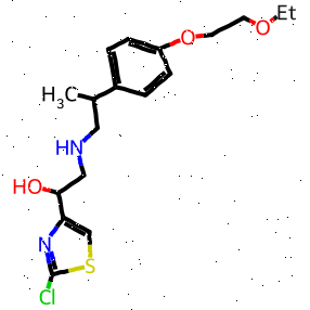 CCOCCOc1ccc(C(C)CNCC(O)c2csc(Cl)n2)cc1